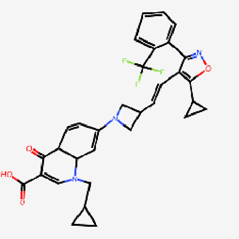 O=C(O)C1=CN(CC2CC2)C2C=C(N3CC(/C=C/c4c(-c5ccccc5C(F)(F)F)noc4C4CC4)C3)C=CC2C1=O